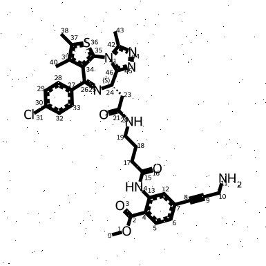 COC(=O)c1ccc(C#CCN)cc1NC(=O)CCCNC(=O)C[C@@H]1N=C(c2ccc(Cl)cc2)c2c(sc(C)c2C)-n2c(C)nnc21